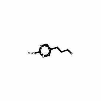 COc1ncc(CCCF)cn1